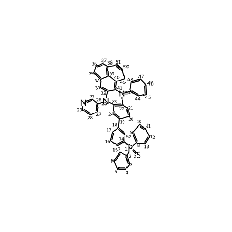 S=P(c1ccccc1)(c1ccccc1)c1cccc(-c2ccc3c(c2)N(c2cccnc2)c2cc4cccc5c4c(c2N3c2ccccc2)CC=C5)c1